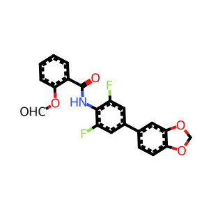 O=COc1ccccc1C(=O)Nc1c(F)cc(-c2ccc3c(c2)OCO3)cc1F